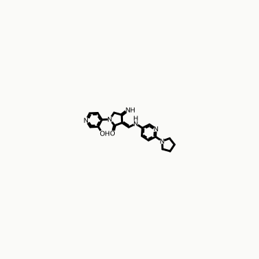 N=C1CN(c2ccncc2O)C(=O)/C1=C/Nc1ccc(N2CCCC2)nc1